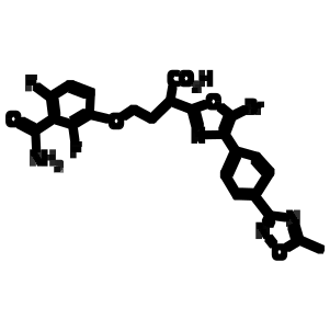 Cc1nc(-c2ccc(-c3nc(C(CCOc4ccc(F)c(C(N)=O)c4F)C(=O)O)oc3Br)cc2)no1